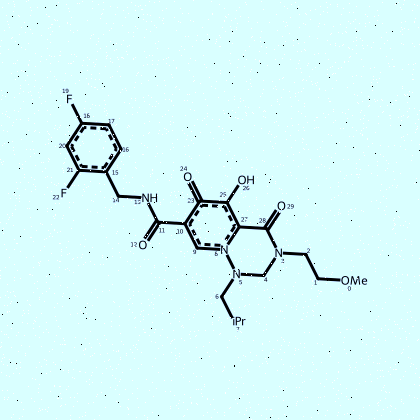 COCCN1CN(CC(C)C)n2cc(C(=O)NCc3ccc(F)cc3F)c(=O)c(O)c2C1=O